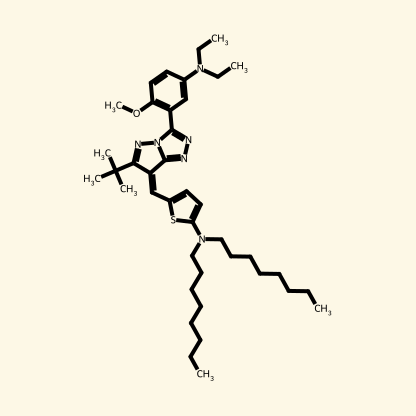 CCCCCCCCN(CCCCCCCC)c1ccc(/C=c2/c(C(C)(C)C)nn3c(-c4cc(N(CC)CC)ccc4OC)nnc23)s1